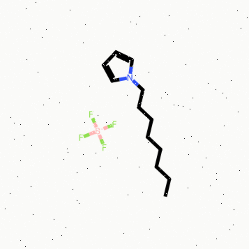 CCCCCCCCn1cccc1.F[B-](F)(F)F